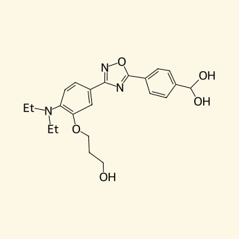 CCN(CC)c1ccc(-c2noc(-c3ccc(C(O)O)cc3)n2)cc1OCCCO